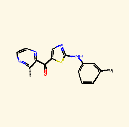 Cc1nccnc1C(=O)c1cnc(Nc2cccc(C#N)c2)s1